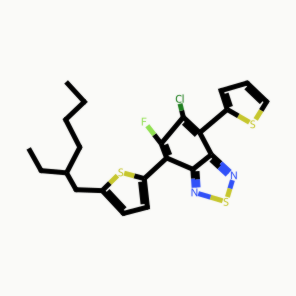 CCCCC(CC)Cc1ccc(-c2c(F)c(Cl)c(-c3cccs3)c3nsnc23)s1